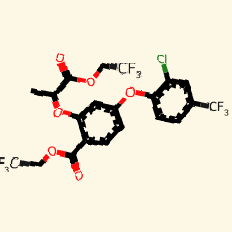 CC(Oc1cc(Oc2ccc(C(F)(F)F)cc2Cl)ccc1C(=O)OCC(F)(F)F)C(=O)OCC(F)(F)F